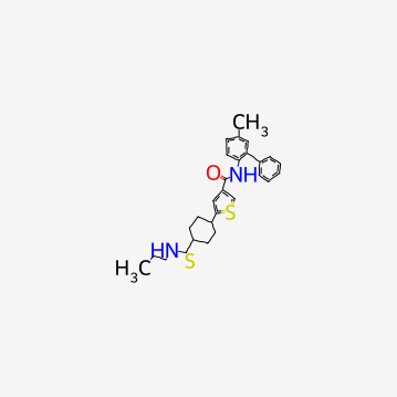 CCCNC(=S)C1CCC(c2cc(C(=O)Nc3ccc(C)cc3-c3ccccc3)cs2)CC1